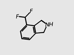 FC(F)c1cccc2c1CNC2